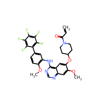 C=CC(=O)N1CCC(Oc2cc3c(Nc4cc(-c5c(F)c(F)c(F)c(F)c5F)ccc4OC)ncnc3cc2OC)CC1